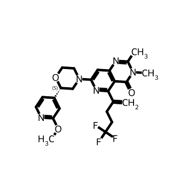 C=C(CCC(F)(F)F)c1nc(N2CCO[C@@H](c3ccnc(OC)c3)C2)cc2nc(C)n(C)c(=O)c12